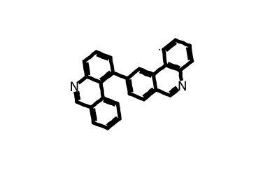 [c]1cccc2ncc3ccc(-c4cccc5ncc6ccccc6c45)cc3c12